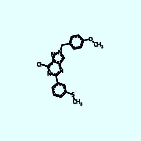 COc1ccc(Cn2cc3nc(-c4cccc(SC)c4)nc(Cl)c3n2)cc1